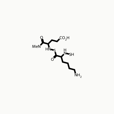 CNC(=O)C(CCC(=O)O)NSC(=O)C(CCCCN)NS